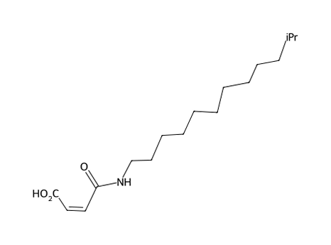 CC(C)CCCCCCCCCCNC(=O)/C=C\C(=O)O